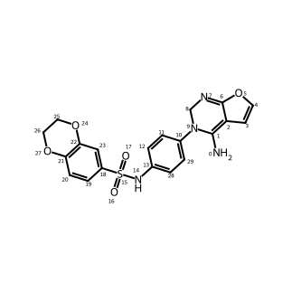 NC1=c2ccoc2=NCN1c1ccc(NS(=O)(=O)c2ccc3c(c2)OCCO3)cc1